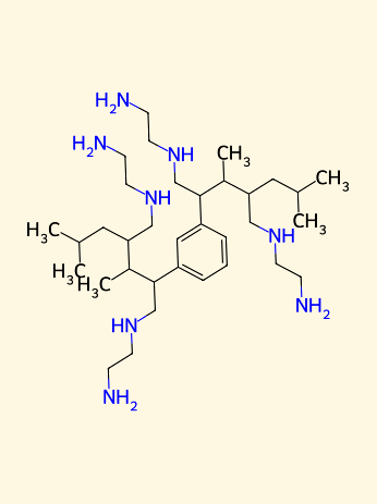 CC(C)CC(CNCCN)C(C)C(CNCCN)c1cccc(C(CNCCN)C(C)C(CNCCN)CC(C)C)c1